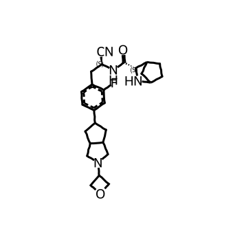 N#C[C@H](Cc1ccc(C2CC3CN(C4COC4)CC3C2)cc1F)NC(=O)[C@H]1NC2CCC1C2